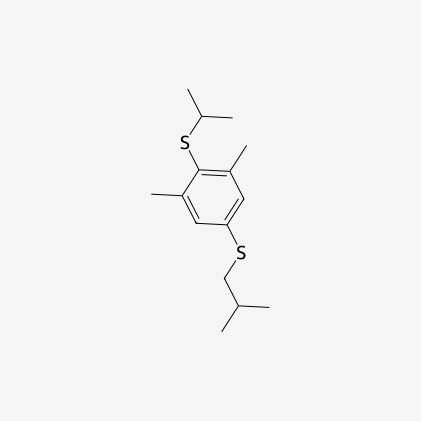 Cc1cc(SCC(C)C)cc(C)c1SC(C)C